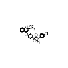 CC(C(=O)Nc1ccc(Cl)cc1)[C@H]1CC[C@@H](Oc2cc(C(F)(F)F)nc3ccccc23)CC1